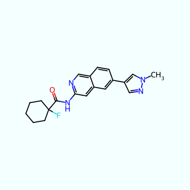 Cn1cc(-c2ccc3cnc(NC(=O)C4(F)CCCCC4)cc3c2)cn1